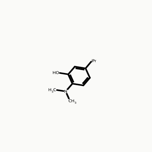 CC(C)c1ccc(N(C)C)c(O)c1